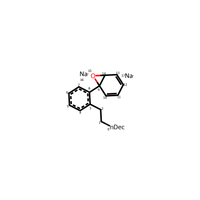 CCCCCCCCCCCCc1ccccc1C12C=CC=CC1O2.[Na].[Na]